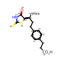 CCCCCCC(CCc1ccc(CCC(=O)O)cc1)=C1SC(=S)NC1=O